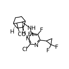 CCOC(=O)[C@H]1C2CCC(CC2)[C@@H]1Nc1nc(Cl)nc(C2CC2(F)F)c1F